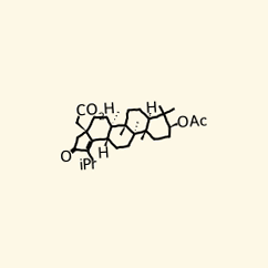 CC(=O)O[C@H]1CC[C@@]2(C)[C@@H](CC[C@]3(C)[C@]2(C)CC[C@@H]2C4=C(C(C)C)C(=O)C[C@]4(CC(=O)O)CC[C@]23C)C1(C)C